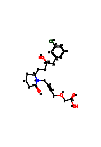 O=C(O)COCC#CCN1C(=O)CCCC1CC[C@@H](O)Cc1cccc(Cl)c1